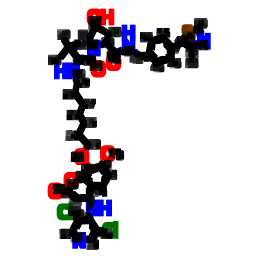 COc1ccc2c(Nc3c(Cl)cncc3Cl)cc(=O)oc2c1OCCCCCCCNC(C(=O)N1C[C@H](O)C[C@H]1C(=O)NCc1ccc(-c2scnc2C)cc1)C(C)(C)C